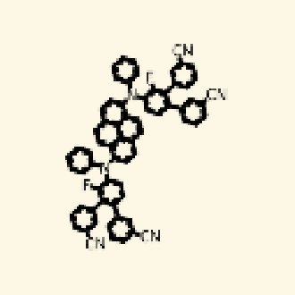 N#Cc1cccc(-c2ccc(N(c3ccccc3)c3ccc4ccc5c(N(c6ccccc6)c6ccc(-c7cccc(C#N)c7)c(-c7cccc(C#N)c7)c6F)ccc6ccc3c4c65)c(F)c2-c2cccc(C#N)c2)c1